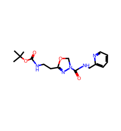 CC(C)(C)OC(=O)NCCC1=NN(C(=O)NCc2ccccn2)CO1